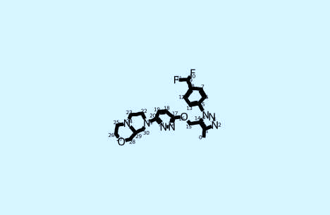 Cc1nnn(-c2ccc(C(F)F)cc2)c1COc1ccc(N2CCN3CCOCC3C2)nn1